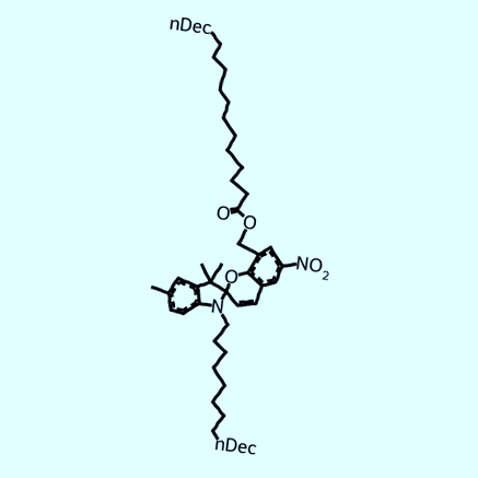 CCCCCCCCCCCCCCCCCCCCCC(=O)OCc1cc([N+](=O)[O-])cc2c1OC1(C=C2)N(CCCCCCCCCCCCCCCCCC)c2ccc(C)cc2C1(C)C